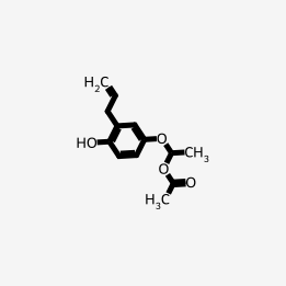 C=CCc1cc(OC(C)OC(C)=O)ccc1O